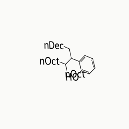 CCCCCCCCCCCC(c1ccccc1O)C(CCCCCCCC)CCCCCCCC